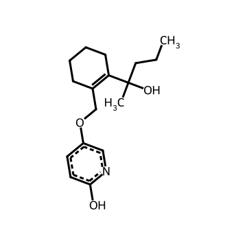 CCCC(C)(O)C1=C(COc2ccc(O)nc2)CCCC1